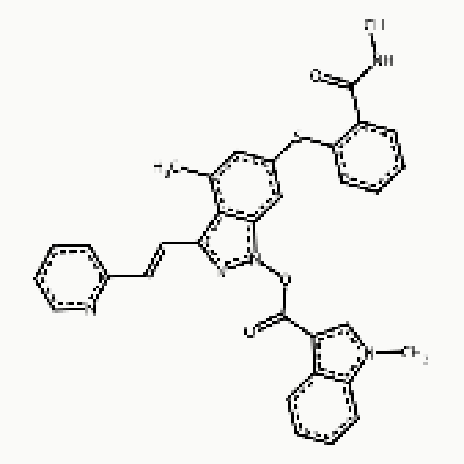 CNC(=O)c1ccccc1Sc1cc(C)c2c(/C=C/c3ccccn3)nn(OC(=O)c3cn(C)c4ccccc34)c2c1